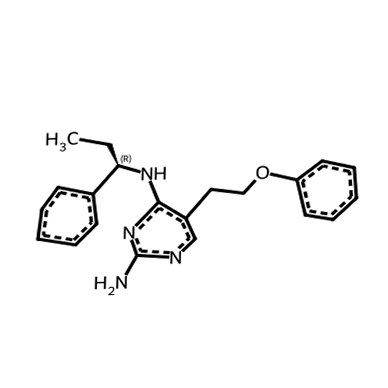 CC[C@@H](Nc1nc(N)ncc1CCOc1ccccc1)c1ccccc1